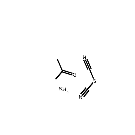 CC(C)=O.N.N#CSC#N